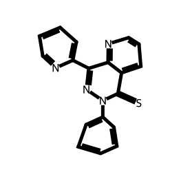 S=c1c2cccnc2c(-c2ccccn2)nn1-c1ccccc1